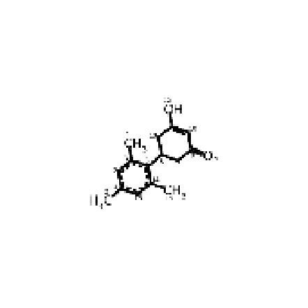 Cc1cc(C)c(C2CC(=O)C=C(O)C2)c(C)c1